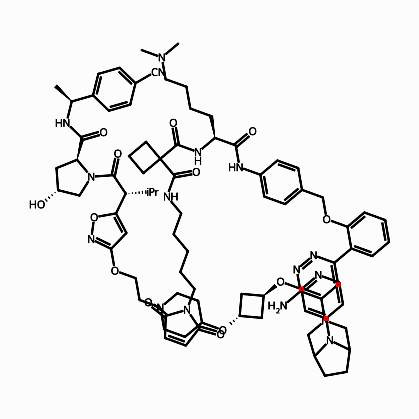 CC(C)[C@@H](C(=O)N1C[C@H](O)C[C@H]1C(=O)N[C@@H](C)c1ccc(C#N)cc1)c1cc(OCCN2CCC(O[C@H]3C[C@H](Oc4cc(N5C6CCC5CN(c5cc(-c7ccccc7OCc7ccc(NC(=O)[C@H](CCCCN(C)C)NC(=O)C8(C(=O)NCCCCCN9C(=O)C=CC9=O)CCC8)cc7)nnc5N)C6)ccn4)C3)CC2)no1